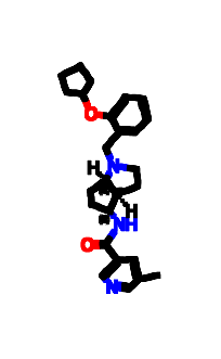 Cc1cncc(C(=O)N[C@H]2CC[C@@H]3[C@H]2CCN3Cc2ccccc2OC2CCCC2)c1